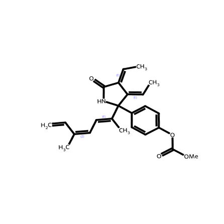 C=C/C(C)=C\C=C(/C)C1(c2ccc(OC(=O)OC)cc2)NC(=O)C(=C/C)/C1=C\C